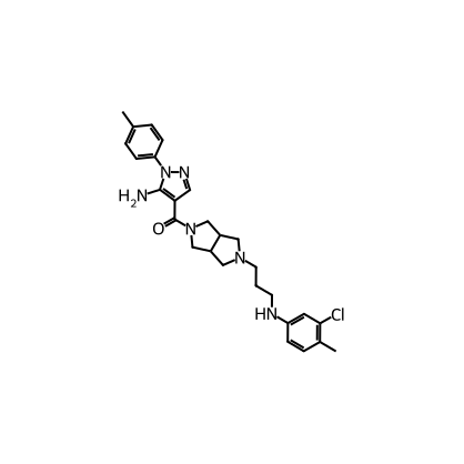 Cc1ccc(-n2ncc(C(=O)N3CC4CN(CCCNc5ccc(C)c(Cl)c5)CC4C3)c2N)cc1